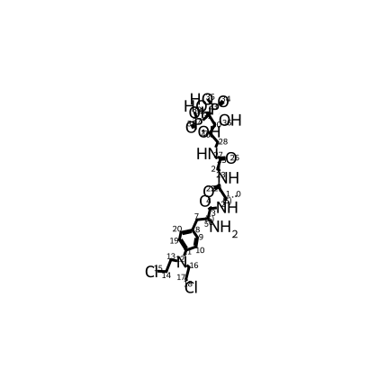 C[C@H](NC(=O)[C@@H](N)Cc1ccc(N(CCCl)CCCl)cc1)C(=O)NCC(=O)NCCCC(O)(P(=O)(O)O)P(=O)(O)O